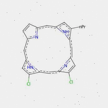 CCCc1cc2cc3nc(cc4cc(Cl)c(cc5nc(cc1[nH]2)C=C5Cl)[nH]4)C=C3